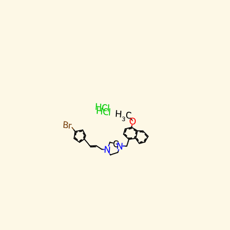 COc1ccc(CN2CCN(C/C=C/c3ccc(Br)cc3)CC2)c2ccccc12.Cl.Cl